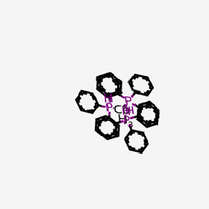 c1ccc([PH](c2ccccc2)(c2ccccc2)[CoH3]([PH](c2ccccc2)(c2ccccc2)c2ccccc2)[PH](c2ccccc2)(c2ccccc2)c2ccccc2)cc1